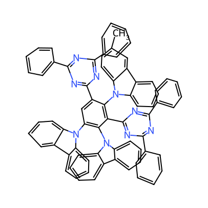 Cc1ccc2c(c1)c1ccccc1n2-c1c(-c2nc(-c3ccccc3)nc(-c3ccccc3)n2)cc(-n2c3ccccc3c3ccccc32)c(-n2c3ccccc3c3ccccc32)c1-c1nc(-c2ccccc2)nc(-c2ccccc2)n1